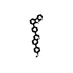 ISc1ccc(-c2ccc3cc(-c4ccc(-c5cccc6c5sc5ncccc56)cc4)cnc3c2)cc1